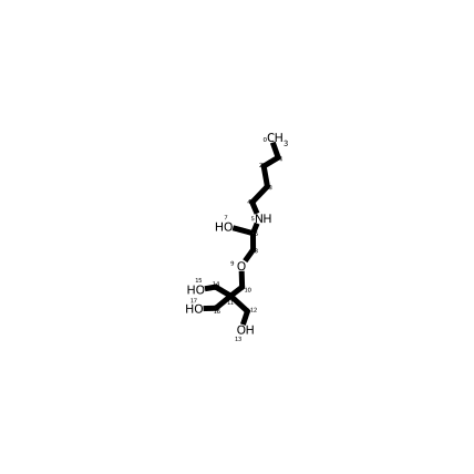 CCCCCNC(O)COCC(CO)(CO)CO